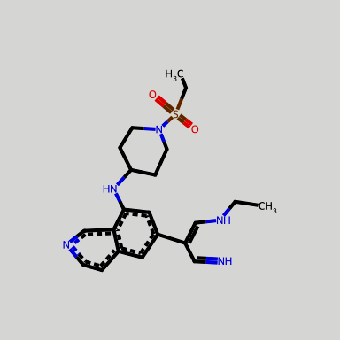 CCN/C=C(\C=N)c1cc(NC2CCN(S(=O)(=O)CC)CC2)c2cnccc2c1